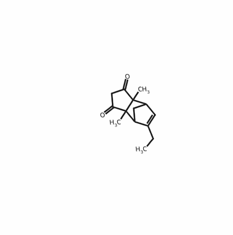 CCC1=CC2CC1C1(C)C(=O)CC(=O)C21C